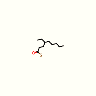 CCCCCC(CC)CCC(=O)[S]